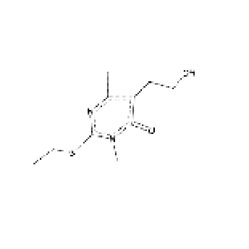 CCSc1nc(C)c(CCO)c(=O)n1C